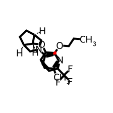 CCCOc1cc(C)ccc1O[C@@H]1[C@@H]2CC[C@H]1CN(c1ccc(C(F)(F)F)nc1)C2